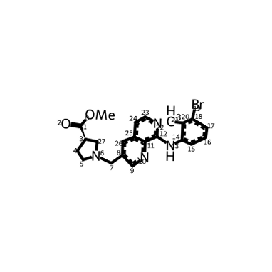 COC(=O)[C@@H]1CCN(Cc2cnc3c(Nc4cccc(Br)c4C)nccc3c2)C1